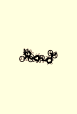 COC(=O)c1cccc(COc2ccc(Oc3ccncc3C=O)cc2)c1